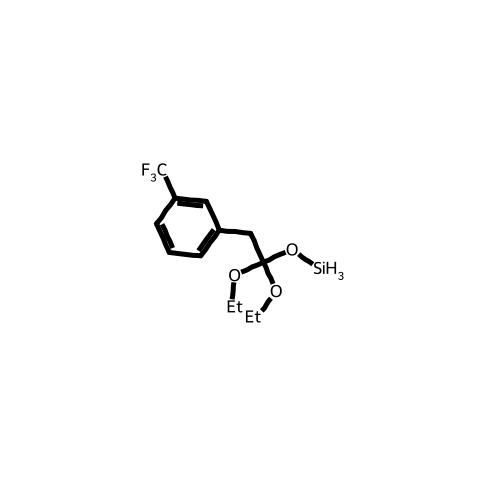 CCOC(Cc1cccc(C(F)(F)F)c1)(O[SiH3])OCC